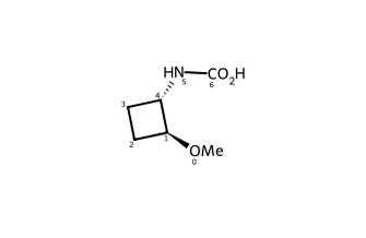 CO[C@H]1CC[C@@H]1NC(=O)O